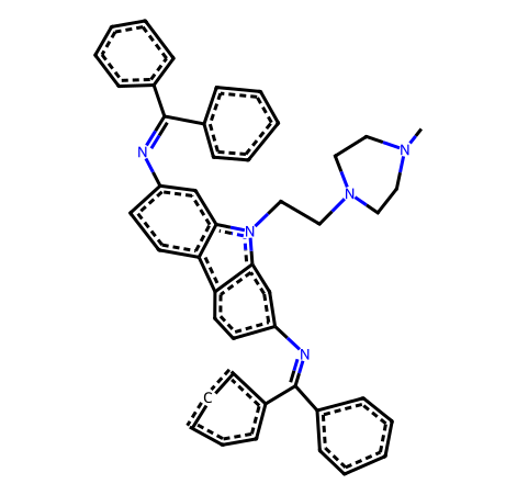 CN1CCN(CCn2c3cc(N=C(c4ccccc4)c4ccccc4)ccc3c3ccc(N=C(c4ccccc4)c4ccccc4)cc32)CC1